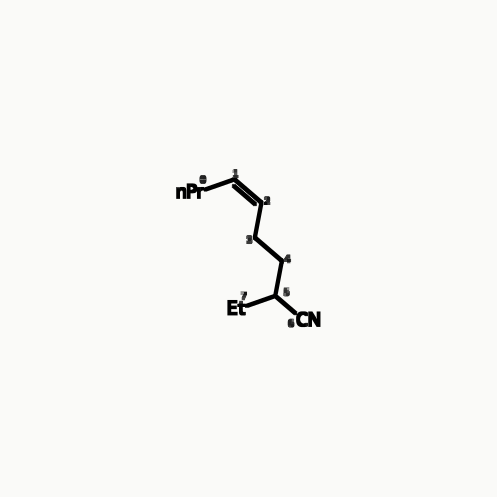 CCC/C=C\CCC(C#N)CC